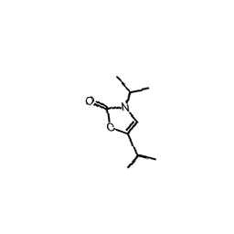 CC(C)c1cn(C(C)C)c(=O)o1